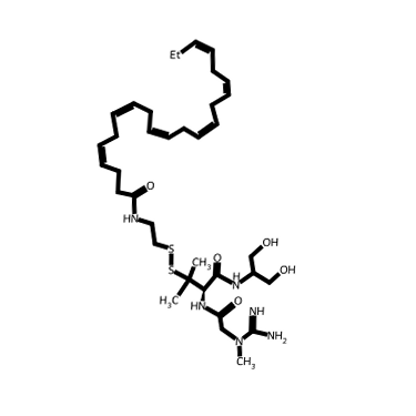 CC/C=C\C/C=C\C/C=C\C/C=C\C/C=C\C/C=C\CCC(=O)NCCSSC(C)(C)[C@H](NC(=O)CN(C)C(=N)N)C(=O)NC(CO)CO